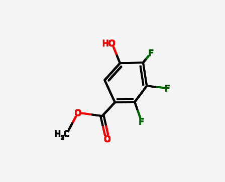 COC(=O)c1cc(O)c(F)c(F)c1F